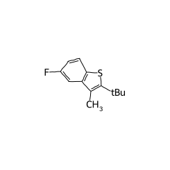 Cc1c(C(C)(C)C)sc2ccc(F)cc12